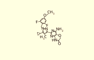 CCOc1cc(F)c(Cn2nc(-c3nc(N)c4c(n3)NC(=O)CO4)c(C)c2C2CC2)c(F)c1